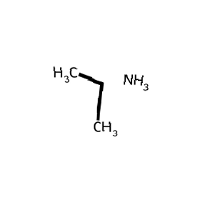 CCC.N